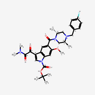 COc1cc2c(cc1C(=O)N1C[C@H](C)N(Cc3ccc(F)cc3)C[C@H]1C)c(C(=O)C(=O)N(C)C)cn2C(=O)OC(C)(C)C